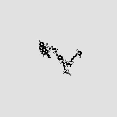 CCC(=O)O[C@]1(C(=O)COC(=O)N(C)CCN(C)C(=O)OCc2ccc(NC(=O)[C@H](CCCNC(N)=O)NC(=O)[C@@H](NC(=O)CCCCCN3C(=O)C=CC3=O)C(C)C)cc2)[C@H](C)C[C@H]2[C@@H]3CCC4=CC(=O)C=C[C@]4(C)[C@@]3(Cl)[C@@H](O)C[C@@]21C